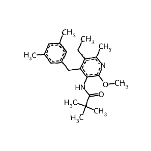 CCc1c(C)nc(OC)c(NC(=O)C(C)(C)C)c1Cc1cc(C)cc(C)c1